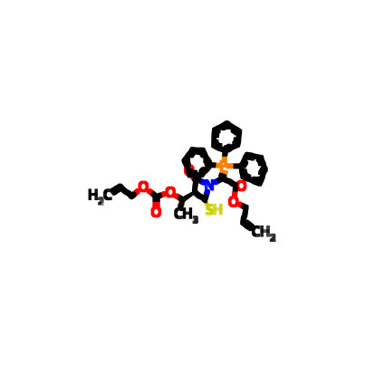 C=CCOC(=O)OC(C)[C@H]1C(=O)N(C(C(=O)OCC=C)=P(c2ccccc2)(c2ccccc2)c2ccccc2)[C@@H]1S